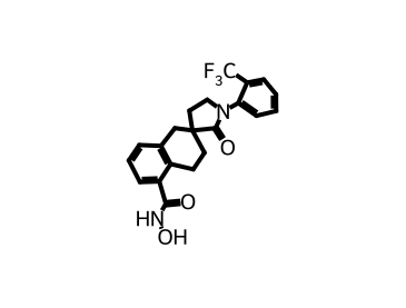 O=C(NO)c1cccc2c1CCC1(CCN(c3ccccc3C(F)(F)F)C1=O)C2